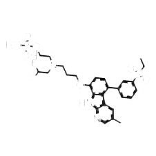 CCS(=O)(=O)c1cccc(-c2ccc(OCCCN(CCOP(=O)(O)O)CC(F)F)c3[nH]c4ncc(C)cc4c23)c1